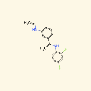 C=CNc1cccc(C(=C)Nc2ccc(F)cc2F)c1